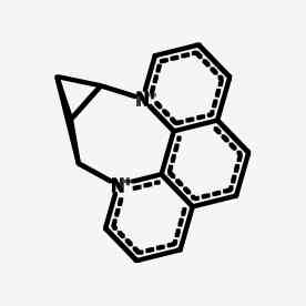 c1cc2ccc3ccc[n+]4c3c2[n+](c1)C1C2C1C24